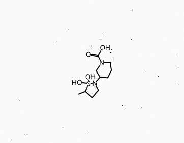 CC1CCN(C2CCCN(C(=O)O)C2)S1(O)O